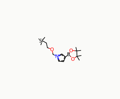 CC1(C)OB(c2ccn(COCC[Si](C)(C)C)c2)OC1(C)C